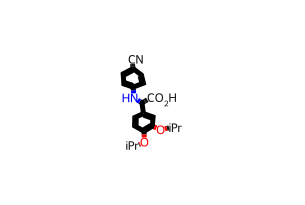 CC(C)Oc1ccc(C(Nc2ccc(C#N)cc2)C(=O)O)cc1OC(C)C